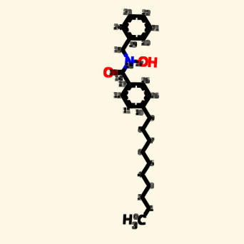 CCCCCCCCCCc1ccc(C(=O)N(O)Cc2ccccc2)cc1